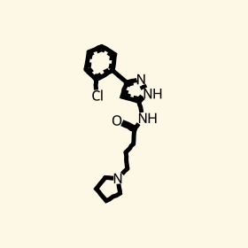 O=C(CCCN1CCCC1)Nc1cc(-c2ccccc2Cl)n[nH]1